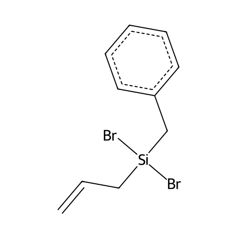 C=CC[Si](Br)(Br)Cc1ccccc1